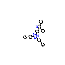 C1=CCCC(C2CC(C3=CCCCC3)CN=C2C2=CCC(c3nc(C4=CCC(C5=CCCC=C5)CC4)nc(C4C=CC(C5C=CC=CC5)=CC4)n3)CC2)=C1